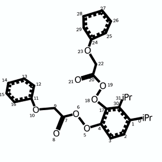 CC(C)c1ccc(OOC(=O)COc2ccccc2)c(OOC(=O)COc2ccccc2)c1C(C)C